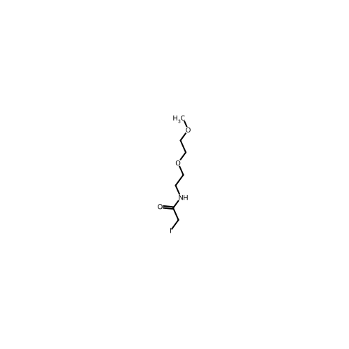 COCCOCCNC(=O)CI